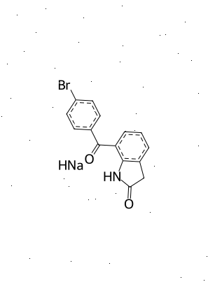 O=C1Cc2cccc(C(=O)c3ccc(Br)cc3)c2N1.[NaH]